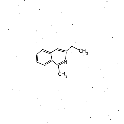 CCc1cc2ccccc2c(C)n1